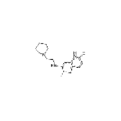 O=c1ccc2cc(F)c(NCCN3CCCCC3)cc2[nH]1